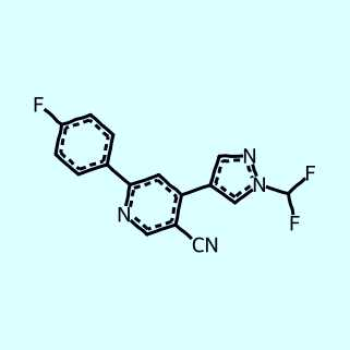 N#Cc1cnc(-c2ccc(F)cc2)cc1-c1cnn(C(F)F)c1